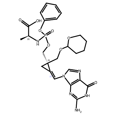 C[C@H](NP(=O)(OC[C@@]1(COC2CCCCO2)C/C1=C/n1cnc2c(=O)[nH]c(N)nc21)Oc1ccccc1)C(=O)O